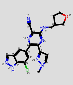 Cn1ccc(-c2nc(NCC3CCOC3)c(C#N)nc2-c2cc(Cl)c3[nH]ncc3c2)n1